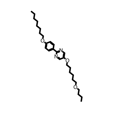 CCCCCCCCOc1ccc(-c2ncc(OCCCCCCOCCCC)cn2)cc1